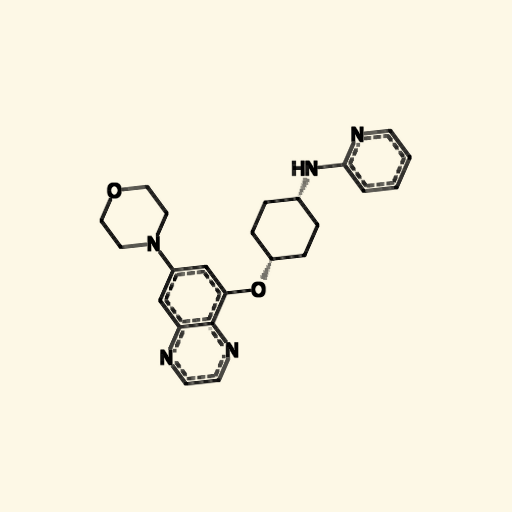 c1ccc(N[C@H]2CC[C@@H](Oc3cc(N4CCOCC4)cc4nccnc34)CC2)nc1